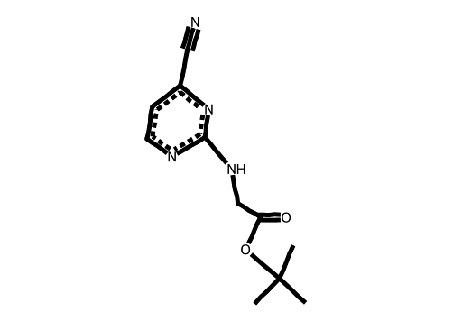 CC(C)(C)OC(=O)CNc1nccc(C#N)n1